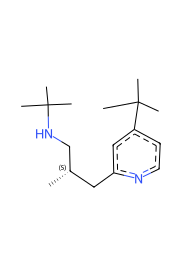 C[C@H](CNC(C)(C)C)Cc1cc(C(C)(C)C)ccn1